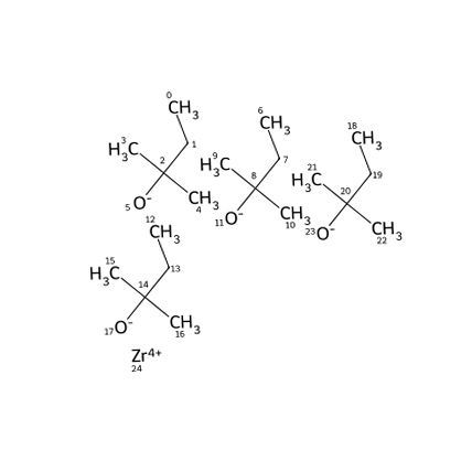 CCC(C)(C)[O-].CCC(C)(C)[O-].CCC(C)(C)[O-].CCC(C)(C)[O-].[Zr+4]